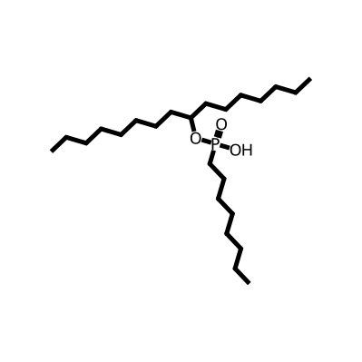 CCCCCCCCC(CCCCCCC)OP(=O)(O)CCCCCCCC